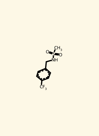 CS(=O)(=O)NCc1ccc(C(F)(F)F)cc1